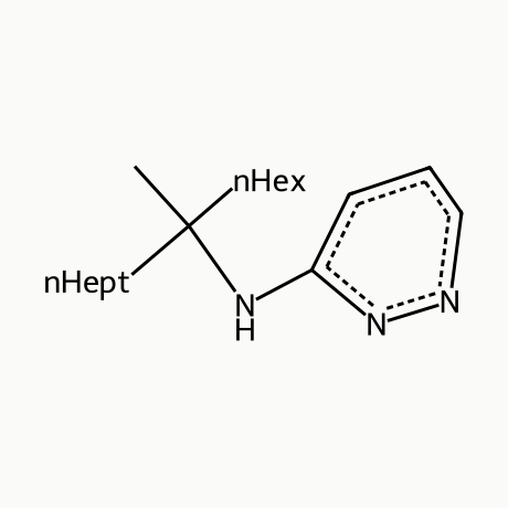 CCCCCCCC(C)(CCCCCC)Nc1cccnn1